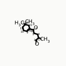 CC(C=O)CCC(=O)C1=CCCC(C)(C)C1